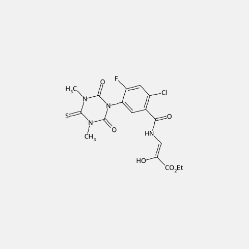 CCOC(=O)C(O)=CNC(=O)c1cc(-n2c(=O)n(C)c(=S)n(C)c2=O)c(F)cc1Cl